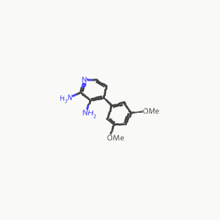 COc1cc(OC)cc(-c2ccnc(N)c2N)c1